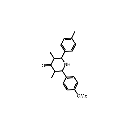 COc1ccc(C2NC(c3ccc(C)cc3)C(C)C(=O)C2C)cc1